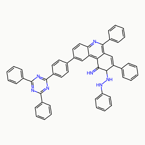 N=C1c2c(c(-c3ccccc3)nc3ccc(-c4ccc(-c5nc(-c6ccccc6)nc(-c6ccccc6)n5)cc4)cc23)C=C(c2ccccc2)C1NNc1ccccc1